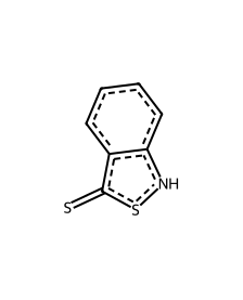 S=c1s[nH]c2ccccc12